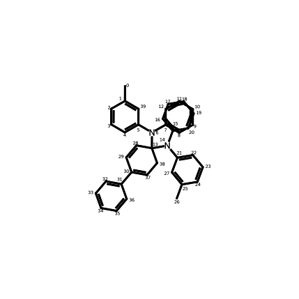 Cc1cccc(N(c2ccccc2)C2(N(c3ccccc3)c3cccc(C)c3)C=CC(c3ccccc3)=CC2)c1